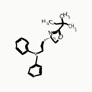 CC(C)(C)C1=N[C@@H](CCP(c2ccccc2)c2ccccc2)CO1